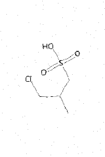 CC(CCl)CS(=O)(=O)O